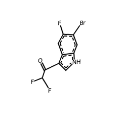 O=C(c1c[nH]c2cc(Br)c(F)cc12)C(F)F